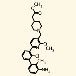 COC(=O)CC1CCN(Cc2ccc(-c3cccc(-c4cccc(N)c4C)c3Cl)nc2OC)CC1